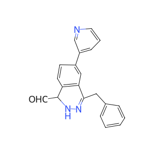 O=CC1NN=C(Cc2ccccc2)c2cc(-c3cccnc3)ccc21